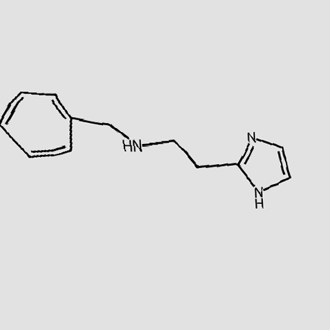 c1ccc(CNCCc2ncc[nH]2)cc1